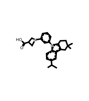 CC(C)c1ccc2c(c1)c1c(n2-c2cccc(N3CC(C(=O)O)C3)c2)CCC(C)(C)C1